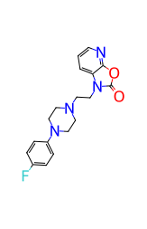 O=c1oc2ncccc2n1CCN1CCN(c2ccc(F)cc2)CC1